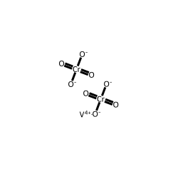 [O]=[Cr](=[O])([O-])[O-].[O]=[Cr](=[O])([O-])[O-].[V+4]